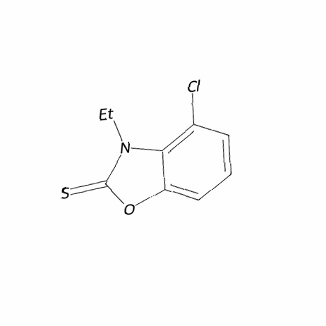 CCn1c(=S)oc2cccc(Cl)c21